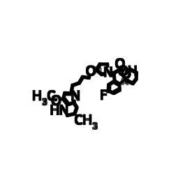 COc1cc(CCCCO[C@@H]2CCN(C(C(=O)O)c3cc(F)ccc3[C@@H]3CCCCO3)C2)nc2c1NCC(C)C2